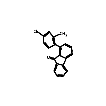 Cc1cc(Cl)ccc1-c1cccc2c1C(=O)c1ccccc1-2